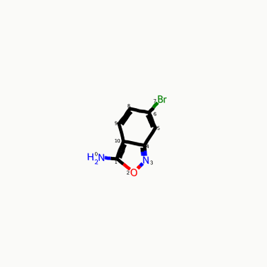 Nc1onc2cc(Br)ccc12